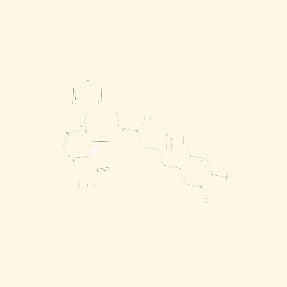 C=C(C)N1/C(=C(\NC)C(=O)O)CN(C(=O)C[C@H](N)Cc2cc(F)c(F)cc2F)Cc2ccccc21